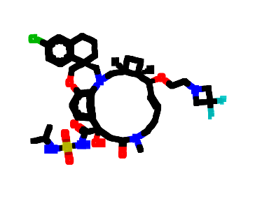 CC(C)NS(=O)(=O)NC(=O)[C@@]1(O)CC(=O)N(C)CC/C=C/[C@H](OCCN2CC(F)(F)C2)[C@@H]2CC[C@H]2CN2C[C@@]3(CCCc4cc(Cl)ccc43)COc3ccc1cc32